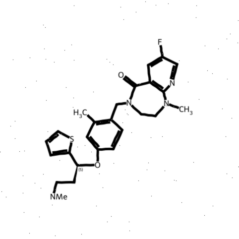 CNCC[C@H](Oc1ccc(CN2CCN(C)c3ncc(F)cc3C2=O)c(C)c1)c1cccs1